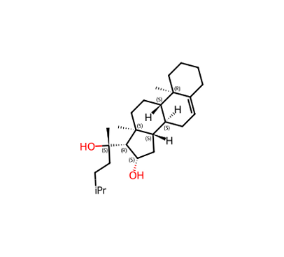 CC(C)CC[C@](C)(O)[C@H]1[C@@H](O)C[C@H]2[C@@H]3CC=C4CCCC[C@]4(C)[C@H]3CC[C@@]21C